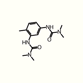 Cc1ccc(NC(=O)N(C)C)cc1NC(=O)N(C)C